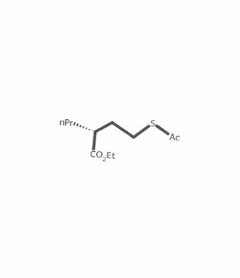 CCC[C@H](CCSC(C)=O)C(=O)OCC